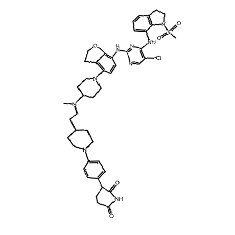 CN(CCC1CCN(c2ccc(C3CCC(=O)NC3=O)cc2)CC1)C1CCN(c2ccc(Nc3ncc(Cl)c(Nc4cccc5c4N(S(C)(=O)=O)CC5)n3)c3c2CCO3)CC1